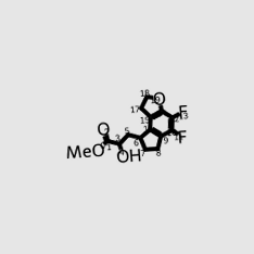 COC(=O)C(O)CC1CCc2c(F)c(F)c3c(c21)CCO3